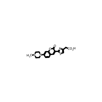 CN1CCN(c2ccc3cc(-c4nc(CC(=O)O)cs4)c(=O)oc3c2)CC1